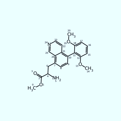 COC(=O)C(N)Cc1ccc(-c2c(OC)cccc2OC)c2ccncc12